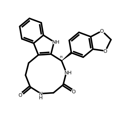 O=C1CCc2c([nH]c3ccccc23)[C@@H](c2ccc3c(c2)OCO3)NC(=O)CN1